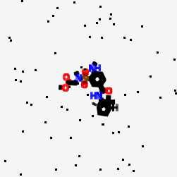 CNc1ccc(C(=O)NC2C(C)(C)[C@@H]3CC[C@]2(C)C3)cc1S(=O)(=O)N(C)CC(=O)OC